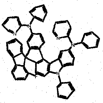 Fc1cccc2c1C1(c3ccccc3-2)c2cc(N(c3ccccc3)c3ccccn3)ccc2-c2c1ccc1c2c2cc(N(c3ccccc3)c3ccccn3)ccc2n1-c1ccccc1